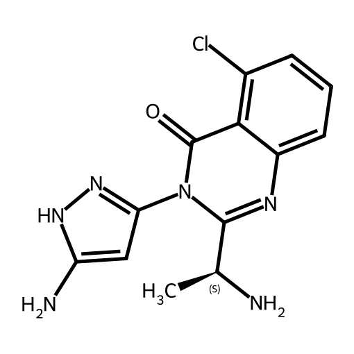 C[C@H](N)c1nc2cccc(Cl)c2c(=O)n1-c1cc(N)[nH]n1